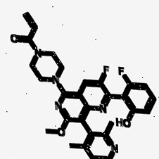 C=CC(=O)N1CCN(c2nc(OC)c(-c3c(C)ccnc3C)c3nc(-c4c(O)cccc4F)c(F)cc23)CC1